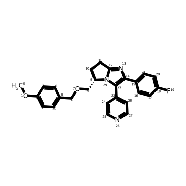 COc1ccc(COC[C@@H]2CCc3nc(-c4ccc(F)cc4)c(-c4ccncc4)n32)cc1